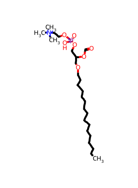 CCCCCCCCCCCCCCCCOCC(COP(=O)(O)OCC[N+](C)(C)C)OC=O